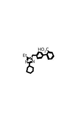 CCc1nc(C2CCCCC2)nn1Cc1ccc(-c2ccccc2C(=O)O)cc1